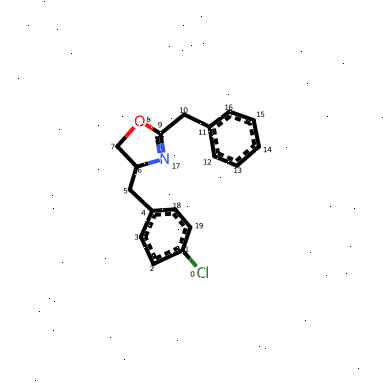 Clc1ccc(CC2COC(Cc3ccccc3)=N2)cc1